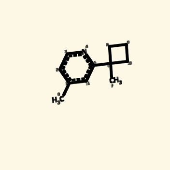 Cc1ccnc(C2(C)CCC2)c1